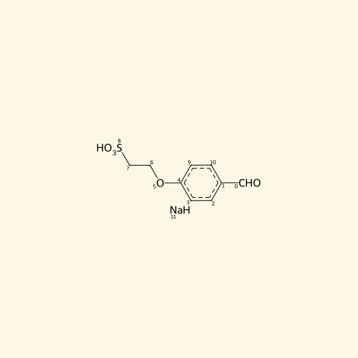 O=Cc1ccc(OCCS(=O)(=O)O)cc1.[NaH]